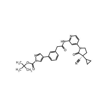 CC(C)(C)OC(=O)n1cc(-c2cccc(CC(=O)Nc3cc(N4CC[C@@](C#N)(C5CC5)C4=O)ccn3)c2)cn1